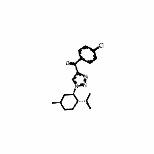 CC(C)[C@@H]1CC[C@@H](C)C[C@H]1n1cc(C(=O)c2ccc(Cl)cc2)nn1